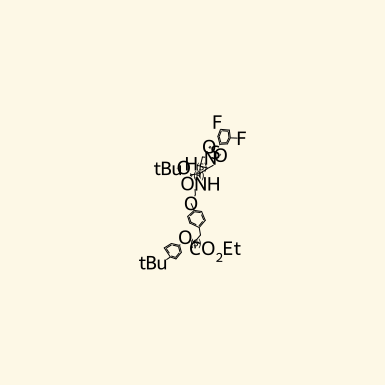 CCOC(=O)[C@H](Cc1ccc(OCCN[C@]2(C(=O)OC(C)(C)C)C3CN(S(=O)(=O)c4cc(F)cc(F)c4)C[C@H]32)cc1)Oc1ccc(C(C)(C)C)cc1